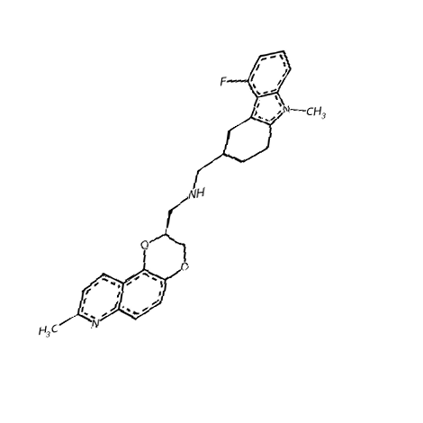 Cc1ccc2c3c(ccc2n1)OC[C@H](CNCC1CCc2c(c4c(F)cccc4n2C)C1)O3